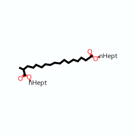 CCCCCCCOC(=O)CCCCCCCCCCCCCCC(C)C(=O)OCCCCCCC